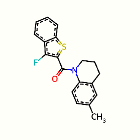 Cc1ccc2c(c1)CCCN2C(=O)c1sc2ccccc2c1F